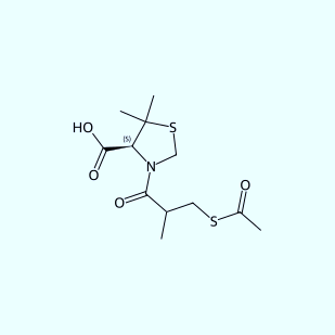 CC(=O)SCC(C)C(=O)N1CSC(C)(C)[C@@H]1C(=O)O